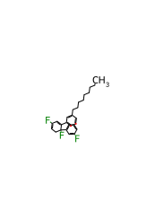 CCCCCCCCCc1cccc(C2=CC(F)=CCC2(F)c2cccc(F)c2)c1